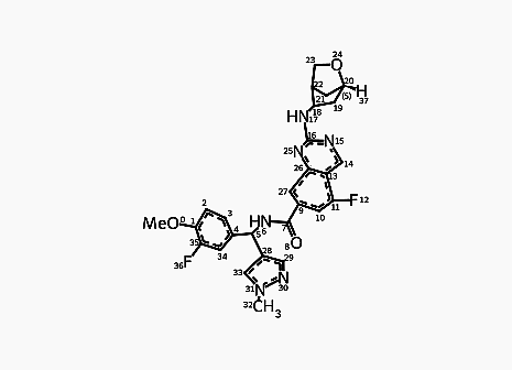 COc1ccc(C(NC(=O)c2cc(F)c3cnc(NC4C[C@@H]5CC4CO5)nc3c2)c2cnn(C)c2)cc1F